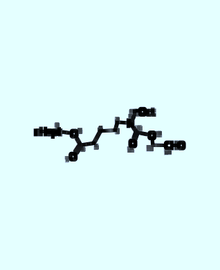 CCCCCCCCN(CCCCC(=O)OCCCCCCC)C(=O)OCC=O